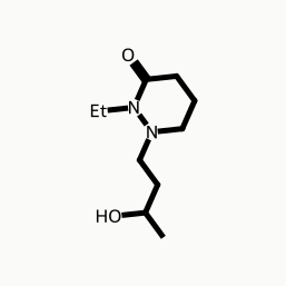 [CH2]CN1C(=O)CCCN1CCC(C)O